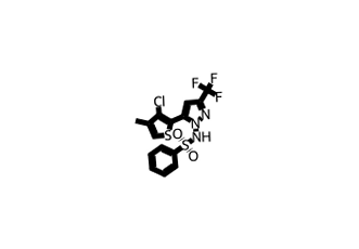 Cc1csc(-c2cc(C(F)(F)F)nn2NS(=O)(=O)c2ccccc2)c1Cl